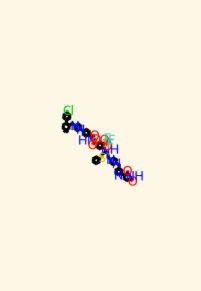 CC1(C)CCC(c2ccc(Cl)cc2)=C(CN2CCN(c3ccc(C(=O)NS(=O)(=O)c4ccc(N[C@H](CCN5CCN(Cc6ccnc(C7CCC(=O)NC7=O)c6)CC5)CSc5ccccc5)c(S(=O)(=O)C(F)(F)F)c4)cc3)CC2)C1